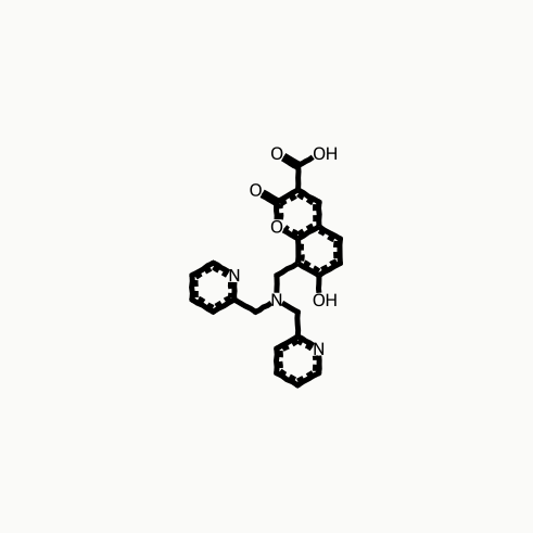 O=C(O)c1cc2ccc(O)c(CN(Cc3ccccn3)Cc3ccccn3)c2oc1=O